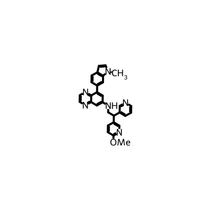 COc1ccc(C(CNc2cc(-c3ccc4ccn(C)c4c3)c3nccnc3c2)c2cccnc2)cn1